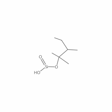 CCC(C)C(C)(C)O[Si](=O)O